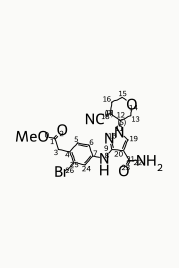 COC(=O)Cc1ccc(Nc2nn([C@@H]3COCC[C@H]3C#N)cc2C(N)=O)cc1Br